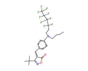 CCCCN(CCC(F)(F)C(F)(F)C(F)(F)C(F)(F)F)c1ccc(C=C2C(=O)ON=C2C(C)(C)C)cc1